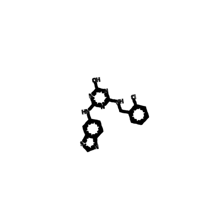 Oc1nc(NCc2ccccc2Cl)nc(Nc2ccc3ncsc3c2)n1